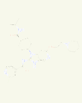 CC(C)NC(=O)[C@H]1CC[C@@H](n2/c(=N/C(=O)c3ccnc(F)c3)[nH]c3cnc(OCCN4CCCCC4)cc32)CC1